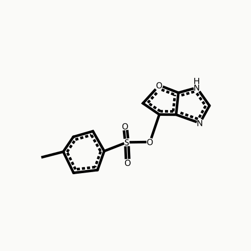 Cc1ccc(S(=O)(=O)Oc2coc3[nH]cnc23)cc1